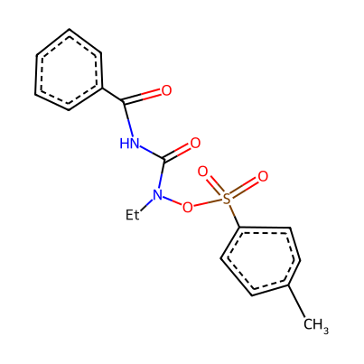 CCN(OS(=O)(=O)c1ccc(C)cc1)C(=O)NC(=O)c1ccccc1